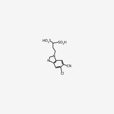 N#Cc1cc2c(cc1Cl)[N]CN2CCC(S(=O)(=O)O)S(=O)(=O)O